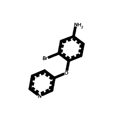 Nc1ccc(Oc2cccnc2)c(Br)c1